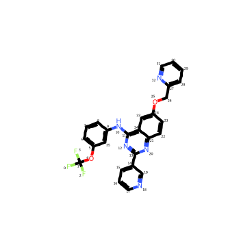 FC(F)(F)Oc1cccc(Nc2nc(-c3cccnc3)nc3ccc(OCc4ccccn4)cc23)c1